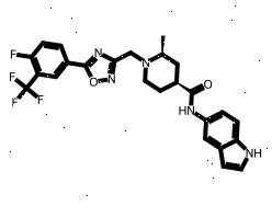 C[C@H]1C[C@@H](C(=O)Nc2ccc3[nH]ccc3c2)CCN1Cc1noc(-c2ccc(F)c(C(F)(F)F)c2)n1